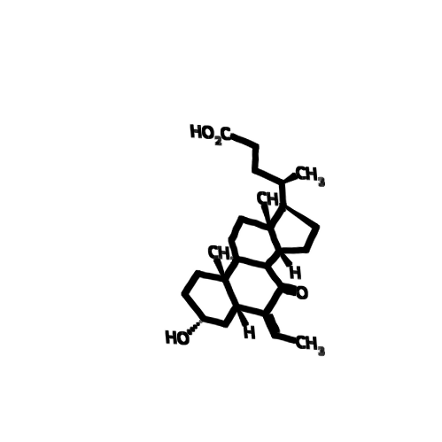 C/C=C1\C(=O)C2C(CC[C@@]3(C)[C@@H]2CC[C@@H]3[C@H](C)CCC(=O)O)[C@@]2(C)CC[C@@H](O)C[C@@H]12